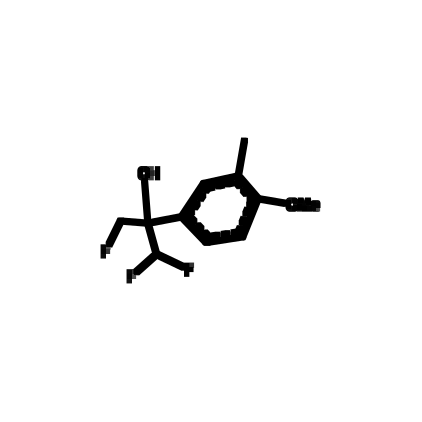 COc1ccc(C(O)(CF)C(F)F)cc1C